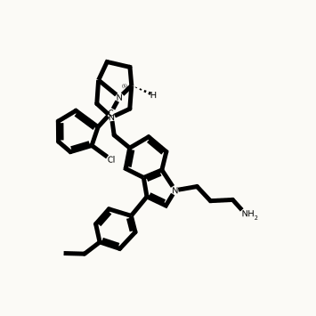 CCc1ccc(-c2cn(CCCN)c3ccc(CN4CC5CC[C@@H](C4)N5Cc4ccccc4Cl)cc23)cc1